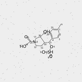 Cc1ccc(C(O[SH](=O)=O)C2CCN(C(=O)O)CC2O)cc1